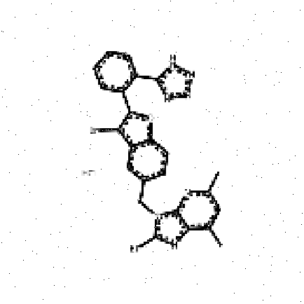 CCc1nc2c(C)cc(C)nc2n1Cc1ccc2oc(-c3ccccc3-c3nnn[nH]3)c(Br)c2c1.Cl